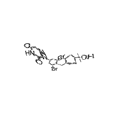 CC(C)(O)c1ccc(Cc2c(Br)cc(-n3ncc(=O)[nH]c3=O)cc2Br)cc1